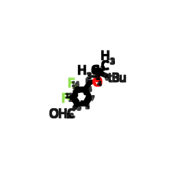 CC(C)(C)[Si](C)(C)OCc1ccc(C=O)c(F)c1F